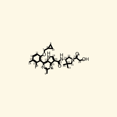 Cc1nc(-c2c(OCC3CC3)ccc(C)c2F)c2[nH]cc(C(=O)N[C@@H]3CN(C(=O)CO)CC3(C)C)c2n1